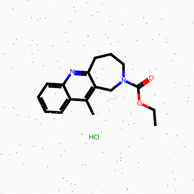 CCOC(=O)N1CCCc2nc3ccccc3c(C)c2C1.Cl